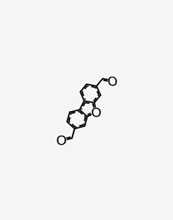 O=Cc1ccc2c(c1)oc1cc(C=O)ccc12